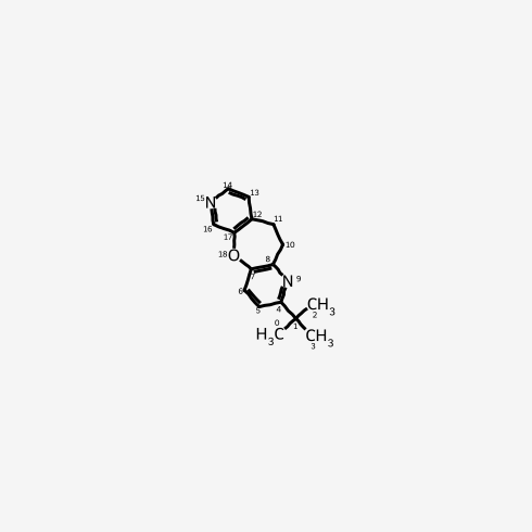 CC(C)(C)c1ccc2c(n1)CCc1ccncc1O2